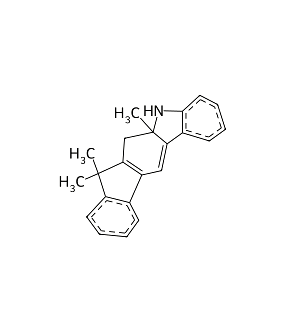 CC12CC3=C(C=C1c1ccccc1N2)c1ccccc1C3(C)C